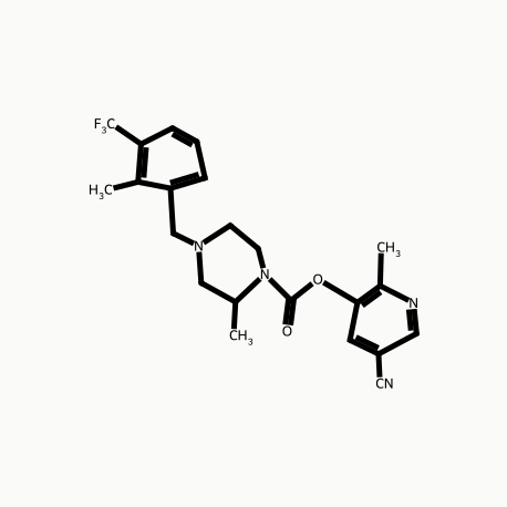 Cc1ncc(C#N)cc1OC(=O)N1CCN(Cc2cccc(C(F)(F)F)c2C)CC1C